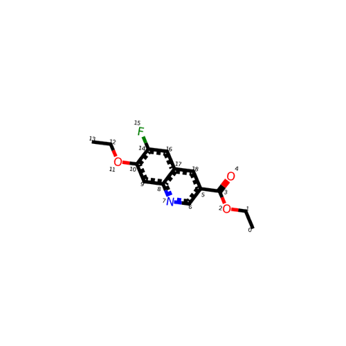 CCOC(=O)c1cnc2cc(OCC)c(F)cc2c1